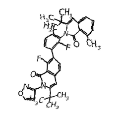 Cc1cccc2cc(C(C)(C)C)n(-c3c(F)ccc(-c4ccc5cc(C(C)(C)C)n(-c6ccon6)c(=O)c5c4F)c3F)c(=O)c12